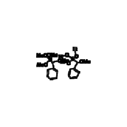 CCO[Si](OCC)(OCC)C(OC)c1ccccc1.COC(c1ccccc1)[Si](OC)(OC)OC